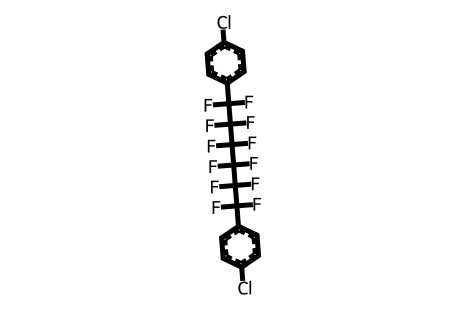 FC(F)(c1ccc(Cl)cc1)C(F)(F)C(F)(F)C(F)(F)C(F)(F)C(F)(F)c1ccc(Cl)cc1